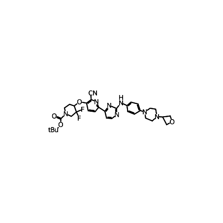 CC(C)(C)OC(=O)N1CCC(Oc2ccc(-c3ccnc(Nc4ccc(N5CCN(C6COC6)CC5)cc4)n3)nc2C#N)C(F)(F)C1